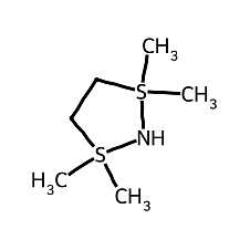 CS1(C)CCS(C)(C)N1